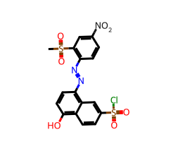 CS(=O)(=O)c1cc([N+](=O)[O-])ccc1/N=N/c1ccc(O)c2ccc(S(=O)(=O)Cl)cc12